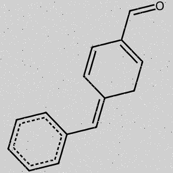 O=CC1=CCC(=Cc2ccccc2)C=C1